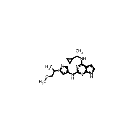 COCC(C)n1cc(Nc2nc(N[C@@H](C)C3CC3)c3cc[nH]c3n2)cn1